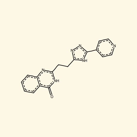 O=c1[nH]c(CCc2nnc(-c3ccncc3)[nH]2)nc2ccccc12